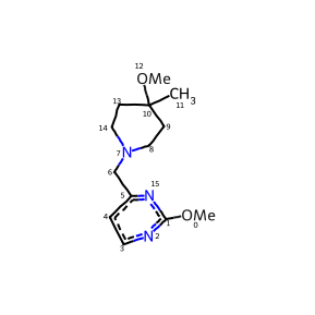 COc1nccc(CN2CCC(C)(OC)CC2)n1